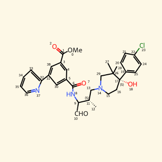 COC(=O)c1cc(C(=O)NC(C=O)[C@@H](C)CN2CC[C@](O)(c3ccc(Cl)cc3)C(C)(C)C2)cc(-c2ccccn2)c1